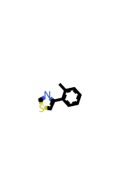 Cc1ccccc1-c1cscn1